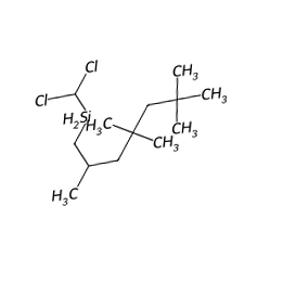 CC(C[SiH2]C(Cl)Cl)CC(C)(C)CC(C)(C)C